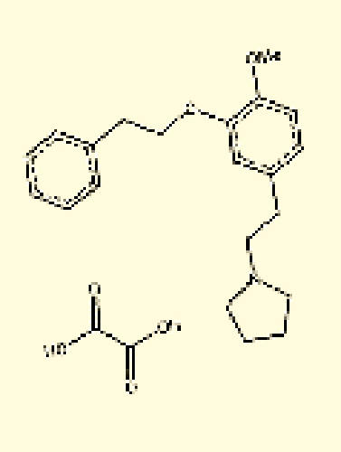 COc1ccc(CCN2CCCC2)cc1OCCc1ccccc1.O=C(O)C(=O)O